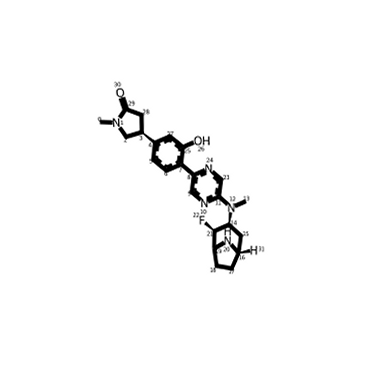 CN1C[C@H](c2ccc(-c3cnc(N(C)[C@H]4C[C@@H]5CCC(N5)[C@H]4F)cn3)c(O)c2)CC1=O